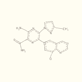 Cc1ccn(-c2nc(N)c(C(N)=O)nc2-c2cc(Cl)c3ncccc3c2)n1